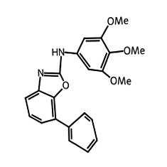 COc1cc(Nc2nc3cccc(-c4ccccc4)c3o2)cc(OC)c1OC